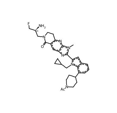 CC(=O)N1CCC(c2cccc3cc(-c4nc5cc6c(nc5n4C)CCN(C[C@H](N)CF)C6=O)n(CC4CC4)c23)CC1